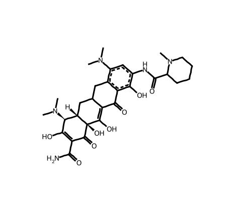 CN(C)c1cc(NC(=O)C2CCCCN2C)c(O)c2c1CC1C[C@H]3[C@H](N(C)C)C(O)=C(C(N)=O)C(=O)[C@@]3(O)C(O)=C1C2=O